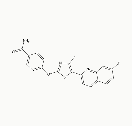 Cc1nc(Oc2ccc(C(N)=O)cc2)sc1-c1ccc2ccc(F)cc2n1